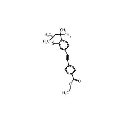 CCOC(=O)c1ccc(C#Cc2ccc3c(c2)SC(C)(C)CC3(C)C)cc1